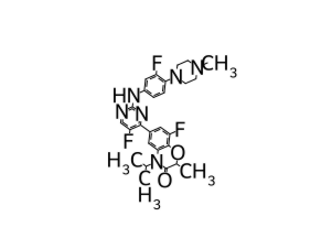 CC1Oc2c(F)cc(-c3nc(Nc4ccc(N5CCN(C)CC5)c(F)c4)ncc3F)cc2N(C(C)C)C1=O